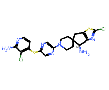 Nc1nccc(Sc2cnc(N3CCC4(CC3)Cc3sc(Cl)nc3[C@H]4N)cn2)c1Cl